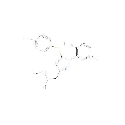 Cc1ccc(F)cc1-n1nc(CC(NC(=O)O)C(C)(C)C)cc1Sc1ccc(Cl)nc1